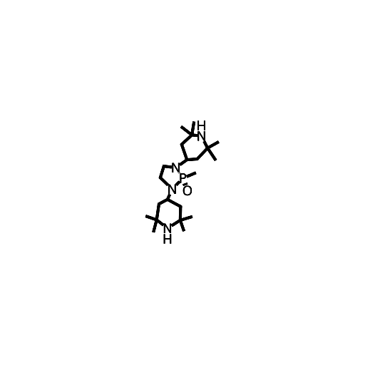 CC1(C)CC(N2CCN(C3CC(C)(C)NC(C)(C)C3)P2(C)=O)CC(C)(C)N1